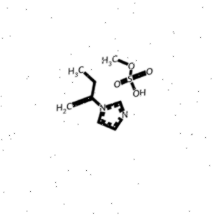 C=C(CC)n1ccnc1.COS(=O)(=O)O